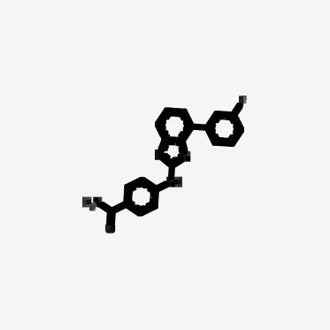 NC(=O)c1ccc(Nc2nc3c(-c4cccc(F)c4)cccn3n2)cc1